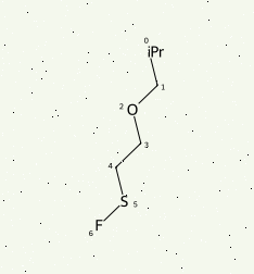 CC(C)COCCSF